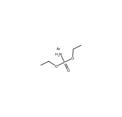 CCOP(N)(=O)OCC.[Ar]